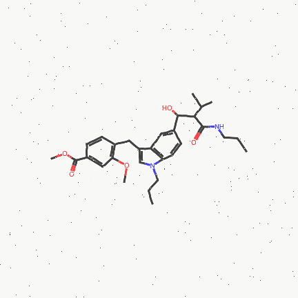 CCCNC(=O)C(C(C)C)C(O)c1ccc2c(c1)c(Cc1ccc(C(=O)OC)cc1OC)cn2CCC